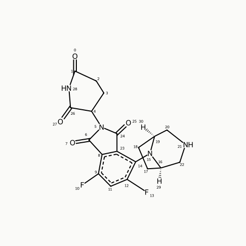 O=C1CCC(N2C(=O)c3c(F)cc(F)c(N4[C@@H]5CC[C@H]4CNC5)c3C2=O)C(=O)N1